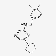 Cc1ccc(CNc2cncc(N3CCCC3)n2)cc1C